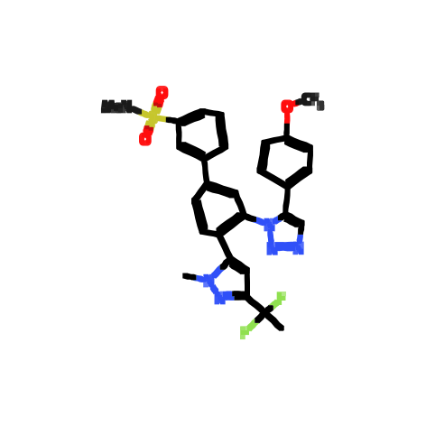 CNS(=O)(=O)c1cccc(-c2ccc(-c3cc(C(C)(F)F)nn3C)c(-n3nncc3-c3ccc(OC(F)(F)F)cc3)c2)c1